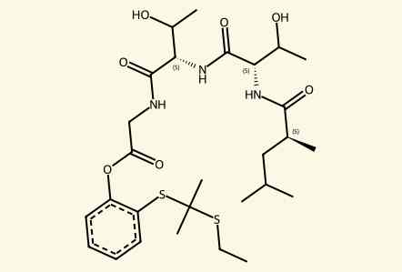 CCSC(C)(C)Sc1ccccc1OC(=O)CNC(=O)[C@@H](NC(=O)[C@@H](NC(=O)[C@@H](C)CC(C)C)C(C)O)C(C)O